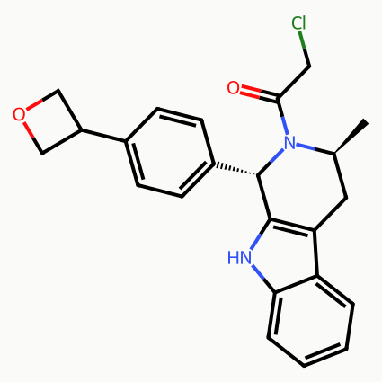 C[C@H]1Cc2c([nH]c3ccccc23)[C@H](c2ccc(C3COC3)cc2)N1C(=O)CCl